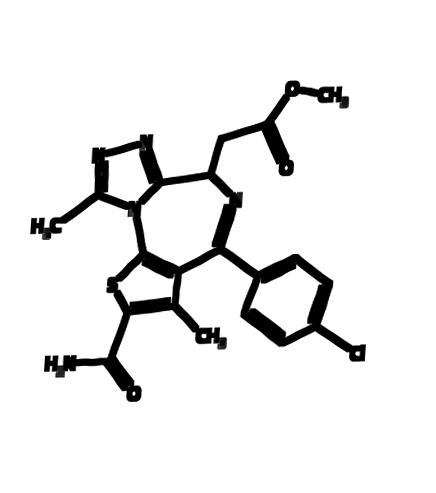 COC(=O)CC1N=C(c2ccc(Cl)cc2)c2c(sc(C(N)=O)c2C)-n2c(C)nnc21